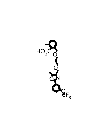 Cc1cccc(COCCCOCc2nc(-c3cccc(OC(F)(F)F)c3)oc2C)c1C(=O)O